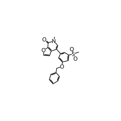 Cn1cc(-c2cc(OCc3ccccc3)cc(S(C)(=O)=O)c2)c2ccoc2c1=O